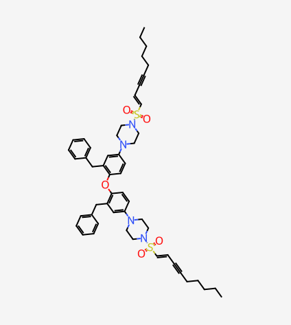 CCCCCC#CC=CS(=O)(=O)N1CCN(c2ccc(Oc3ccc(N4CCN(S(=O)(=O)C=CC#CCCCCC)CC4)cc3Cc3ccccc3)c(Cc3ccccc3)c2)CC1